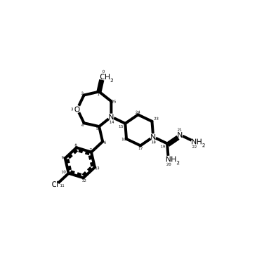 C=C1COCC(Cc2ccc(Cl)cc2)N(C2CCN(/C(N)=N/N)CC2)C1